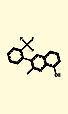 Cc1nc2c(O)cccc2cc1-c1ccccc1C(F)(F)F